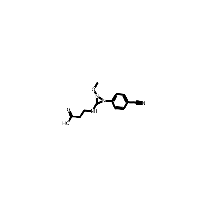 CON1C(NCCC(=O)O)N1c1ccc(C#N)cc1